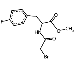 COC(=O)C(Cc1ccc(F)cc1)NC(=O)CBr